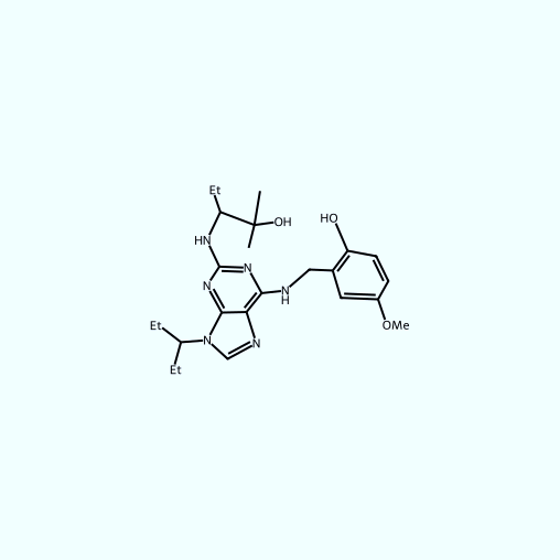 CCC(CC)n1cnc2c(NCc3cc(OC)ccc3O)nc(NC(CC)C(C)(C)O)nc21